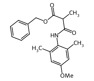 COc1cc(C)c(NC(=O)C(C)C(=O)OCc2ccccc2)c(C)c1